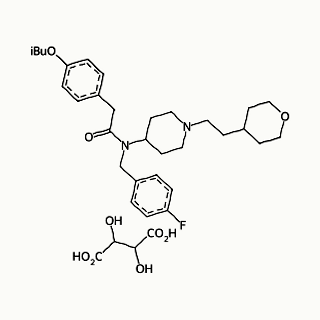 CC(C)COc1ccc(CC(=O)N(Cc2ccc(F)cc2)C2CCN(CCC3CCOCC3)CC2)cc1.O=C(O)C(O)C(O)C(=O)O